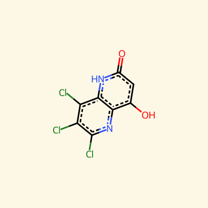 O=c1cc(O)c2nc(Cl)c(Cl)c(Cl)c2[nH]1